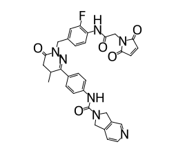 CC1CC(=O)N(Cc2ccc(NC(=O)CN3C(=O)C=CC3=O)c(F)c2)N=C1c1ccc(NC(=O)N2Cc3ccncc3C2)cc1